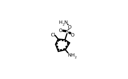 NOS(=O)(=O)c1cc(N)ccc1Cl